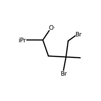 CC(C)C([O])CC(C)(Br)CBr